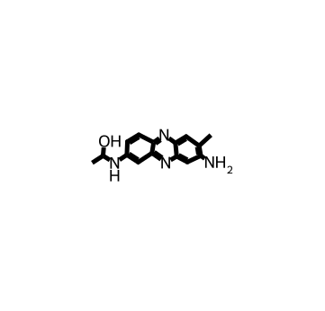 Cc1cc2nc3ccc(NC(C)O)cc3nc2cc1N